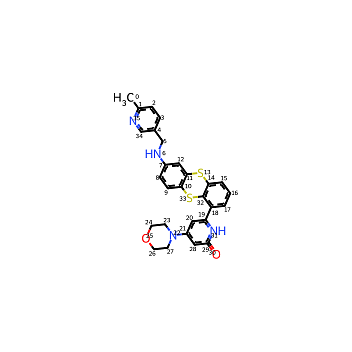 Cc1ccc(CNc2ccc3c(c2)Sc2cccc(-c4cc(N5CCOCC5)cc(=O)[nH]4)c2S3)cn1